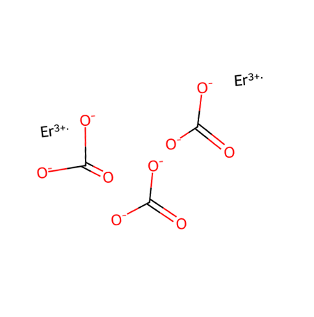 O=C([O-])[O-].O=C([O-])[O-].O=C([O-])[O-].[Er+3].[Er+3]